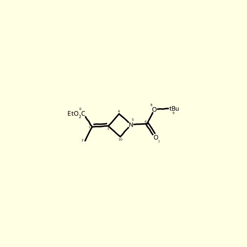 CCOC(=O)C(C)=C1CN(C(=O)OC(C)(C)C)C1